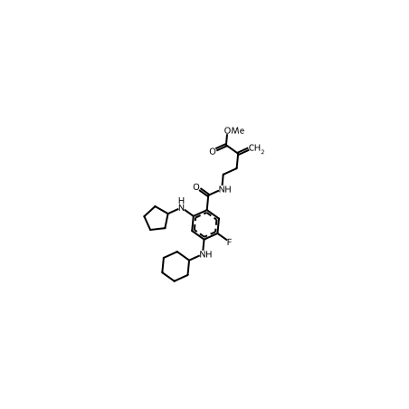 C=C(CCNC(=O)c1cc(F)c(NC2CCCCC2)cc1NC1CCCC1)C(=O)OC